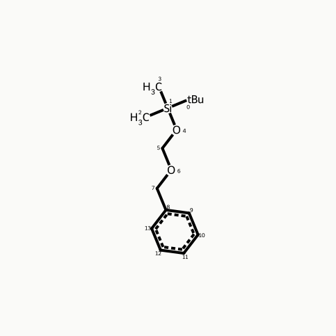 CC(C)(C)[Si](C)(C)OCOCc1ccccc1